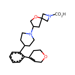 O=C(O)N1CC2(CC(N3CCC(c4ccccc4C4=CCOCC4)CC3)CO2)C1